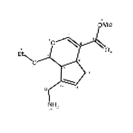 CCOC1OC=C(C(=O)OC)C2CC=C(CN)C12